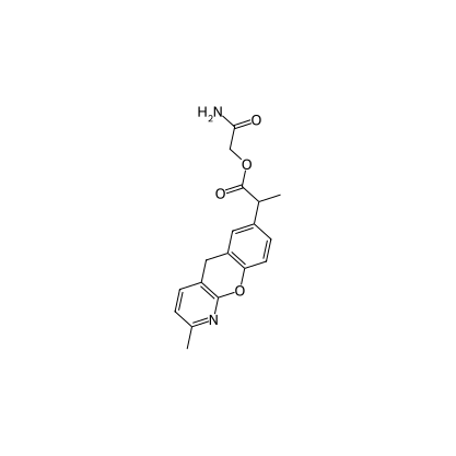 Cc1ccc2c(n1)Oc1ccc(C(C)C(=O)OCC(N)=O)cc1C2